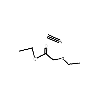 C#N.CCOCC(=O)OCC